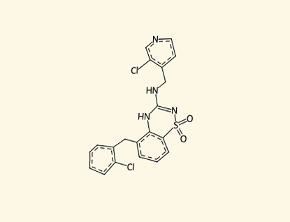 O=S1(=O)N=C(NCc2ccncc2Cl)Nc2c(Cc3ccccc3Cl)cccc21